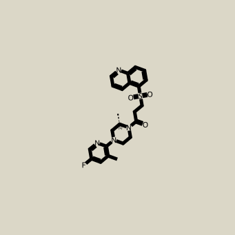 Cc1cc(F)cnc1N1CCN(C(=O)CCS(=O)(=O)c2cccc3ncccc23)[C@@H](C)C1